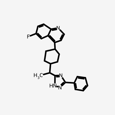 CC(c1nc(-c2ccccc2)n[nH]1)C1CCC(c2ccnc3ccc(F)cc23)CC1